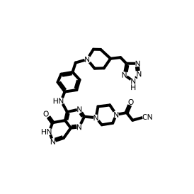 N#CCC(=O)N1CCN(c2nc(Nc3ccc(CN4CCC(Cc5nn[nH]n5)CC4)cc3)c3c(=O)[nH]ncc3n2)CC1